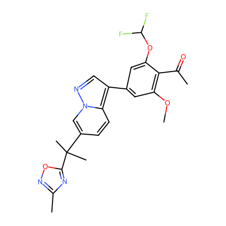 COc1cc(-c2cnn3cc(C(C)(C)c4nc(C)no4)ccc23)cc(OC(F)F)c1C(C)=O